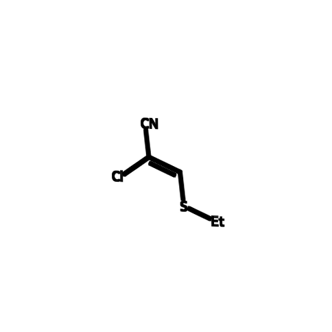 CCSC=C(Cl)C#N